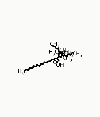 CCCCCCCCCCCCCCCCCCC(CC(=O)O)c1cc(C(C)(C)CCCCC)c(O)c(C(C)(C)CCCCC)c1